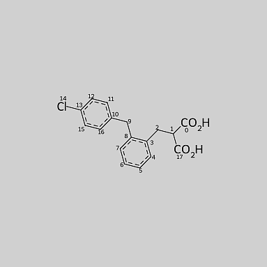 O=C(O)C(Cc1ccccc1Cc1ccc(Cl)cc1)C(=O)O